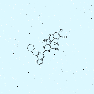 C[C@@]1(c2cc(O)c(Cl)cn2)C(=O)Nc2nc(-c3cn4ccnc4c(CC4CCCCC4)n3)nc(N)c21